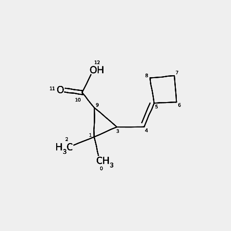 CC1(C)C(C=C2CCC2)C1C(=O)O